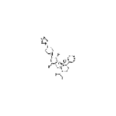 O=S1(=O)[C@@H](c2ccccc2)CC[C@H](C(F)F)N1Cc1cc(F)c(N2CCC(n3cnnc3)CC2)cc1F